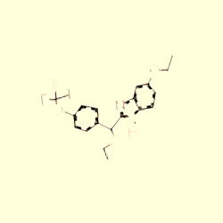 CCOc1ccc2[nH]c(C(OCC)c3ccc(OC(F)(F)F)cc3)nc2c1